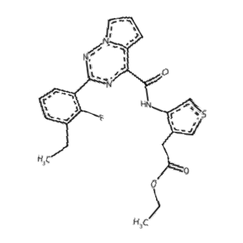 CCOC(=O)Cc1cscc1NC(=O)c1nc(-c2cccc(CC)c2F)nn2cccc12